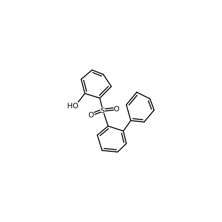 O=S(=O)(c1ccccc1O)c1ccccc1-c1ccccc1